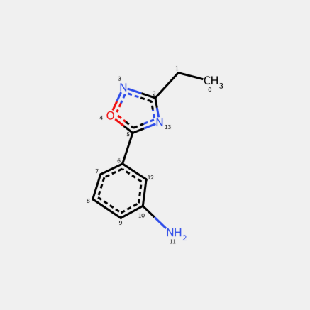 CCc1noc(-c2cccc(N)c2)n1